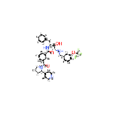 O=C(N[C@@H](Cc1ccccc1)[C@@H](O)CNCc1cccc(OC(F)(F)F)c1)c1cccc(C(=O)N2CCCC2c2ccncc2)c1